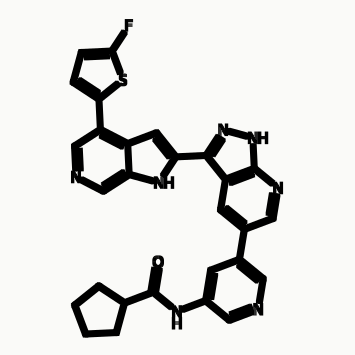 O=C(Nc1cncc(-c2cnc3[nH]nc(-c4cc5c(-c6ccc(F)s6)cncc5[nH]4)c3c2)c1)C1CCCC1